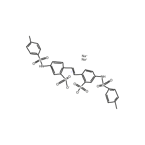 Cc1ccc(S(=O)(=O)Nc2ccc(/C=C/c3ccc(NS(=O)(=O)c4ccc(C)cc4)cc3S(=O)(=O)[O-])c(S(=O)(=O)[O-])c2)cc1.[Na+].[Na+]